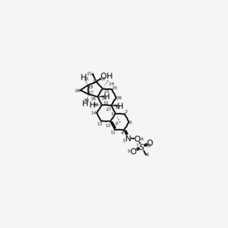 C[C@]12CC/C(=N\OS(C)(=O)=O)C=C1CC[C@H]1[C@@H]3[C@H]4C[C@H]4[C@](C)(O)[C@@]3(C)CC[C@@H]12